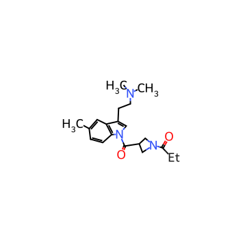 CCC(=O)N1CC(C(=O)n2cc(CCN(C)C)c3cc(C)ccc32)C1